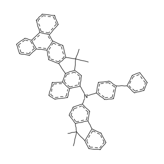 CC1(C)c2ccccc2-c2cc(N(c3ccc(-c4ccccc4)cc3)c3cc4c(c5ccccc35)-c3cc5c6ccccc6c6ccccc6c5cc3C4(C)C)ccc21